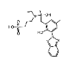 CCN(CCCS(=O)(=O)O)C(C)(O)Cc1cc(C)cc(-n2nc3ccccc3n2)c1O